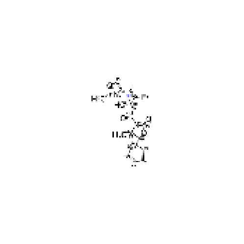 Cc1nc(/C=C(/F)[C@H](O)CC(=O)N2C(=O)O[C@H](c3ccccc3)[C@@H]2C)co1